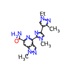 CCn1cc(-c2cn(C)c(-c3nc(C(N)=O)cc4c3cnn4C)n2)c(C)n1